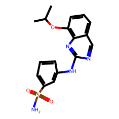 CC(C)Oc1cccc2cnc(Nc3cccc(S(N)(=O)=O)c3)nc12